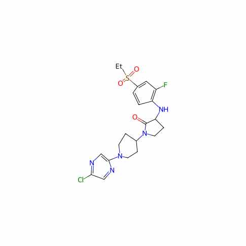 CCS(=O)(=O)c1ccc(NC2CCN(C3CCN(c4cnc(Cl)cn4)CC3)C2=O)c(F)c1